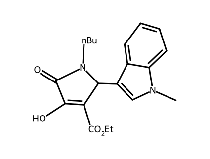 CCCCN1C(=O)C(O)=C(C(=O)OCC)C1c1cn(C)c2ccccc12